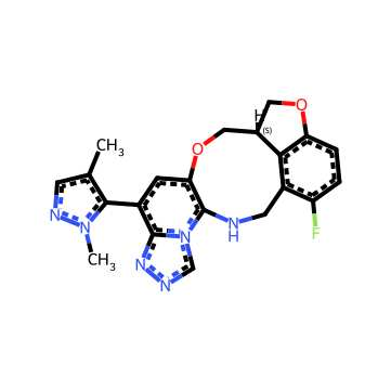 Cc1cnn(C)c1-c1cc2c(n3cnnc13)NCc1c(F)ccc3c1[C@@H](CO3)CO2